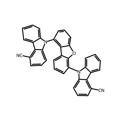 N#Cc1cccc2c1c1ccccc1n2-c1cccc2c1oc1cccc(-n3c4ccccc4c4c(C#N)cccc43)c12